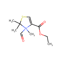 CCOC(=O)C1=CSC(C)(C)[N+]1(C)C=O